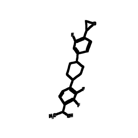 CC(O)c1ccc(C2CCC(c3ccc(C4CO4)c(F)c3)CC2)c(F)c1F